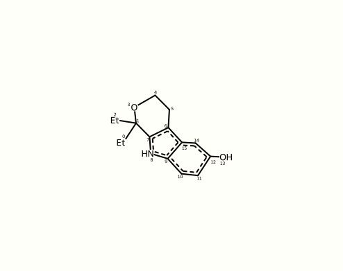 CCC1(CC)OCCc2c1[nH]c1ccc(O)cc21